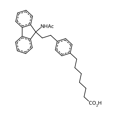 CC(=O)NC1(CCc2ccc(CCCCCCC(=O)O)cc2)c2ccccc2-c2ccccc21